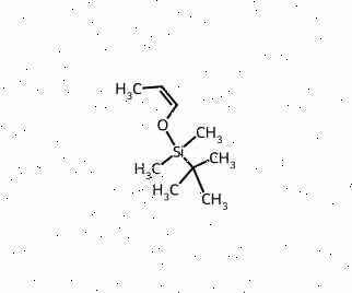 C/C=C\O[Si](C)(C)C(C)(C)C